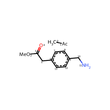 CC(C)=O.COC(=O)Cc1ccc(CN)cc1